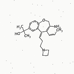 C/C=C\C1=C(N)COc2ccc(C(C)(C)O)cc2/C1=C/CCN1CCC1